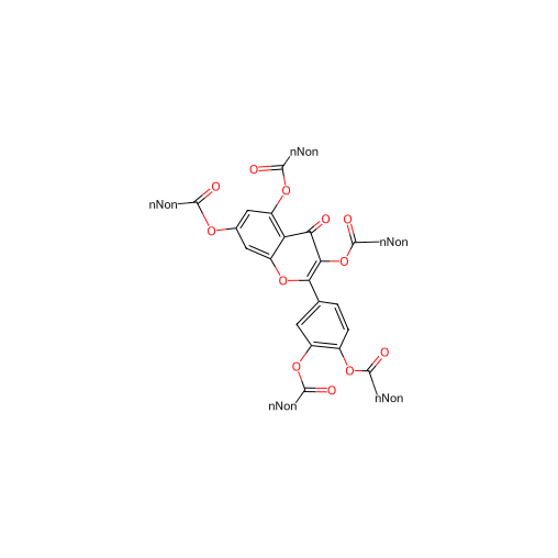 CCCCCCCCCC(=O)Oc1cc(OC(=O)CCCCCCCCC)c2c(=O)c(OC(=O)CCCCCCCCC)c(-c3ccc(OC(=O)CCCCCCCCC)c(OC(=O)CCCCCCCCC)c3)oc2c1